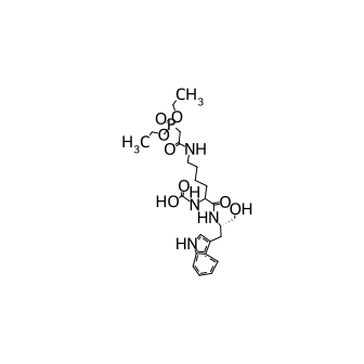 CCOP(=O)(CC(=O)NCCCCC(NC(=O)O)C(=O)N[C@H](CO)Cc1c[nH]c2ccccc12)OCC